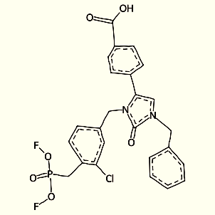 O=C(O)c1ccc(-c2cn(Cc3ccccc3)c(=O)n2Cc2ccc(CP(=O)(OF)OF)c(Cl)c2)cc1